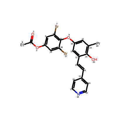 CCC(=O)Oc1cc(Br)c(Oc2cc(C=Cc3ccncc3)c(O)c(C(C)C)c2)c(Br)c1